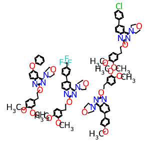 COc1ccc(-c2ccc3nc(OCCc4ccc(OC)c(OC)c4)nc(N4CCOCC4)c3c2)cc1.COc1ccc(CCOc2nc(N3CCOCC3)c3cc(-c4ccc(C(F)(F)F)cc4)ccc3n2)cc1OC.COc1ccc(CCOc2nc(N3CCOCC3)c3cc(-c4ccc(Cl)cc4)ccc3n2)cc1OC.COc1ccc(CCOc2nc(N3CCOCC3)c3cc(Oc4ccccc4)ccc3n2)cc1OC